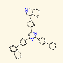 C1=CC2=C(c3ccc(-c4cc(-c5ccc(-c6cccc7ccccc67)cc5)nc(-c5ccc(-c6ccccc6)cc5)n4)cc3)C=NCC2C=C1